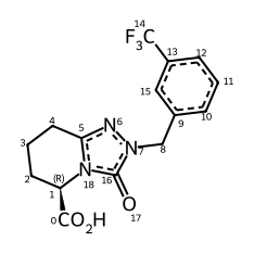 O=C(O)[C@H]1CCCc2nn(Cc3cccc(C(F)(F)F)c3)c(=O)n21